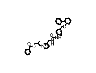 CC(COC(=O)c1ccccc1)C[n+]1cccc(CNC(=O)Nc2ccc(COc3ccccc3-c3ccccc3)cc2)c1